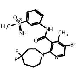 Cc1c(Br)cnc(N2CCCC(F)(F)CC2)c1C(=O)Nc1cccc([S@](C)(=N)=O)c1